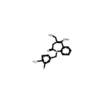 COC1=C(CO)CC(=O)N(Cc2ccc(C)c(F)c2)c2ccccc21